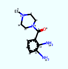 CCN1CCN(C(=O)c2cccc(N)c2N)CC1